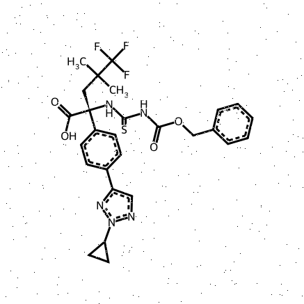 CC(C)(C[C@](NC(=S)NC(=O)OCc1ccccc1)(C(=O)O)c1ccc(-c2cnn(C3CC3)n2)cc1)C(F)(F)F